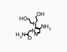 NC(=O)Cn1ncc(N)c1N(CCO)CCO